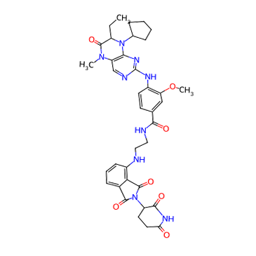 CCC1C(=O)N(C)c2cnc(Nc3ccc(C(=O)NCCNc4cccc5c4C(=O)N(C4CCC(=O)NC4=O)C5=O)cc3OC)nc2N1C1CCCC1